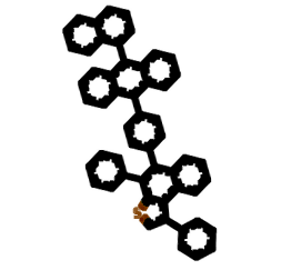 c1ccc(-c2c(-c3ccc(-c4c5ccccc5c(-c5cccc6ccccc56)c5ccccc45)cc3)c3ccccc3c3c(-c4ccccc4)csc23)cc1